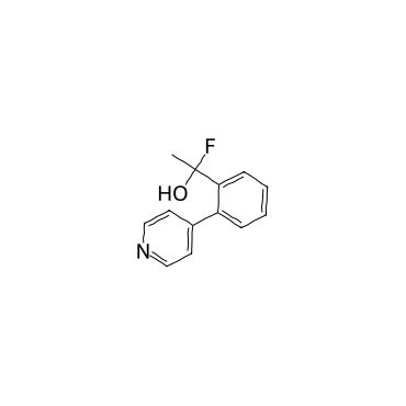 CC(O)(F)c1ccccc1-c1ccncc1